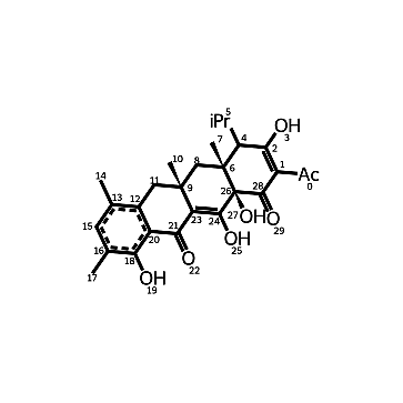 CC(=O)C1=C(O)C(C(C)C)[C@@]2(C)C[C@@]3(C)Cc4c(C)cc(C)c(O)c4C(=O)C3=C(O)[C@@]2(O)C1=O